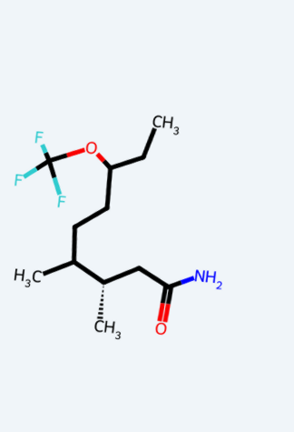 CCC(CCC(C)[C@@H](C)CC(N)=O)OC(F)(F)F